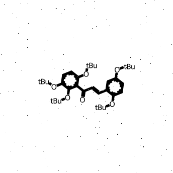 CC(C)(C)Oc1ccc(OC(C)(C)C)c(C=CC(=O)c2c(OC(C)(C)C)ccc(OC(C)(C)C)c2OC(C)(C)C)c1